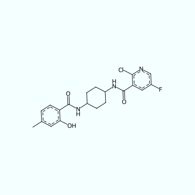 Cc1ccc(C(=O)NC2CCC(NC(=O)c3cc(F)cnc3Cl)CC2)c(O)c1